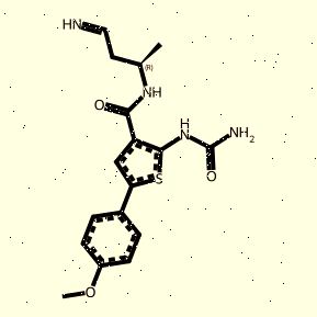 COc1ccc(-c2cc(C(=O)N[C@H](C)CC=N)c(NC(N)=O)s2)cc1